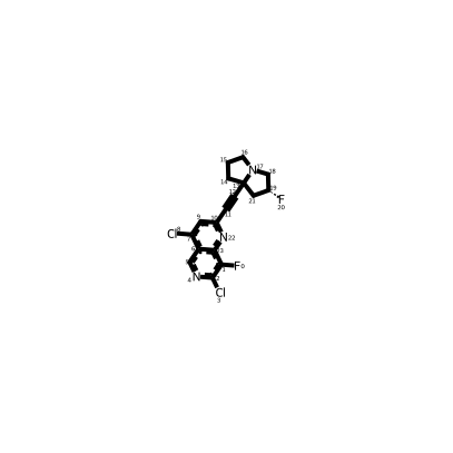 Fc1c(Cl)ncc2c(Cl)cc(C#CC34CCCN3C[C@H](F)C4)nc12